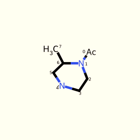 CC(=O)N1CC[N]CC1C